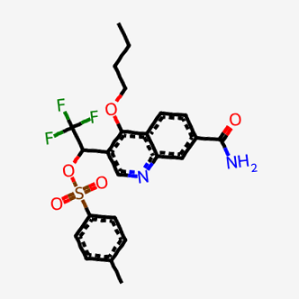 CCCCOc1c(C(OS(=O)(=O)c2ccc(C)cc2)C(F)(F)F)cnc2cc(C(N)=O)ccc12